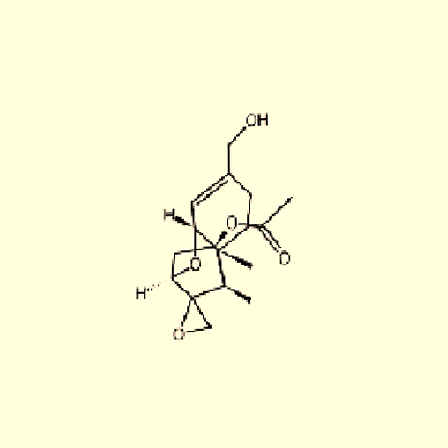 CC(=O)O[C@@H]1C[C@H]2O[C@@H]3C=C(CO)CC[C@]3(C)[C@]1(C)C21CO1